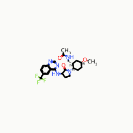 CO[C@@H]1CC[C@H](N2CCC(Nc3ncnc4ccc(C(F)(F)F)cc34)C2=O)[C@H](CNC(C)=O)C1